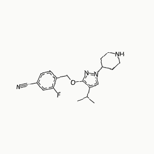 CC(C)c1cn(C2CCNCC2)nc1OCc1ccc(C#N)cc1F